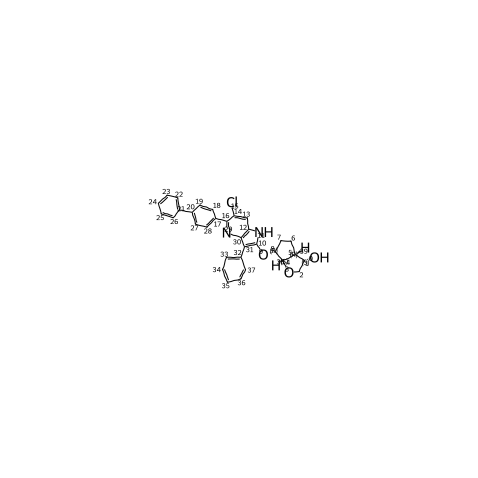 O[C@@H]1CO[C@H]2[C@@H]1CC[C@H]2Oc1[nH]c2cc(Cl)c(-c3ccc(-c4ccccc4)cc3)nc2c1-c1ccccc1